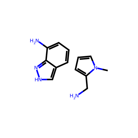 Cn1cccc1CN.Nc1cccc2c[nH]nc12